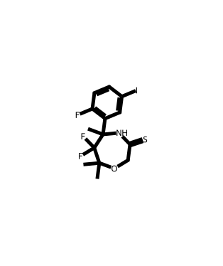 CC1(C)OCC(=S)NC(C)(c2cc(I)ccc2F)C1(F)F